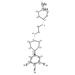 CCC[Si@H]1CC[C@H](CCCC[C@H]2CC[C@H](c3cc(F)c(F)c(F)c3)CC2)CC1